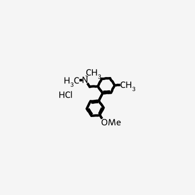 COc1cccc(C2=CC(C)CCC2CN(C)C)c1.Cl